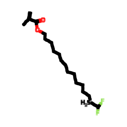 C=C(C)C(=O)OCCCCCCCCCCCCC[SiH2]C(F)F